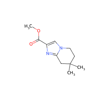 COC(=O)c1cn2c(n1)CC(C)(C)CC2